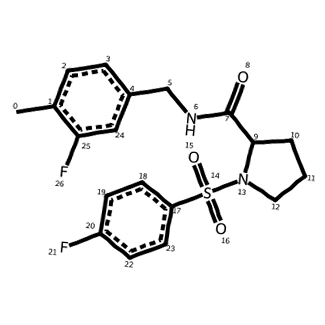 Cc1ccc(CNC(=O)C2CCCN2S(=O)(=O)c2ccc(F)cc2)cc1F